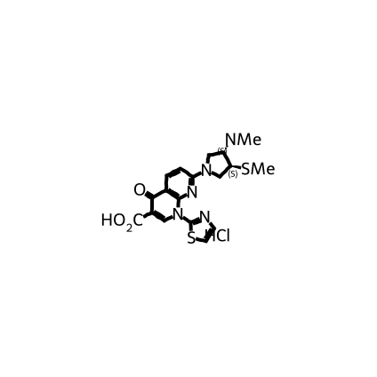 CN[C@H]1CN(c2ccc3c(=O)c(C(=O)O)cn(-c4nccs4)c3n2)C[C@@H]1SC.Cl